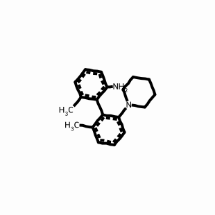 Cc1cccc(N)c1-c1c(C)cccc1N1CCCCC1